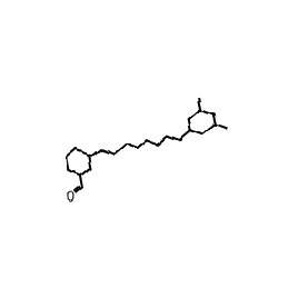 CC1CC(C)CC(CCCCCCCCC2CCCC(C=O)C2)C1